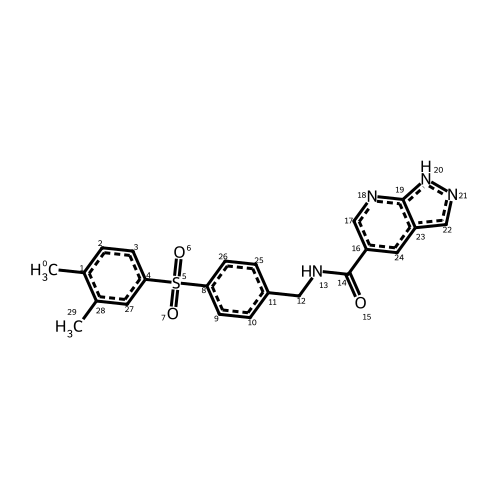 Cc1ccc(S(=O)(=O)c2ccc(CNC(=O)c3cnc4[nH]ncc4c3)cc2)cc1C